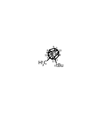 CC(C)(C)[C]12[CH]3[CH]4[CH]5[C]1(C)[Fe]45321678[CH]2[CH]1[CH]6[CH]7[CH]28